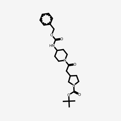 CC(C)(C)OC(=O)N1CCC(CC(=O)N2CCC(NC(=O)OCc3ccccc3)CC2)C1